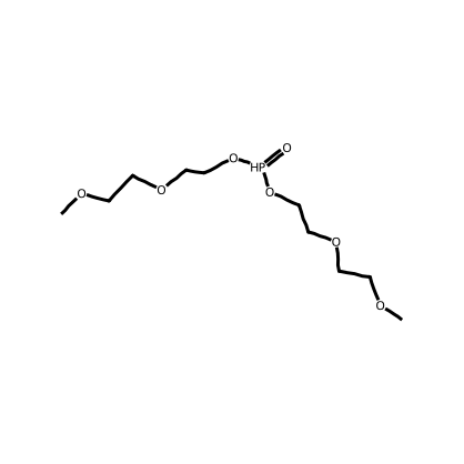 COCCOCCO[PH](=O)OCCOCCOC